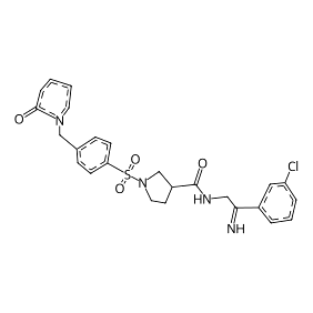 N=C(CNC(=O)C1CCN(S(=O)(=O)c2ccc(Cn3ccccc3=O)cc2)C1)c1cccc(Cl)c1